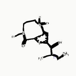 C/C=C(\C(=N)c1cc2c(s1)C(=O)N(CC)CCS2(=O)=O)C(F)(F)F